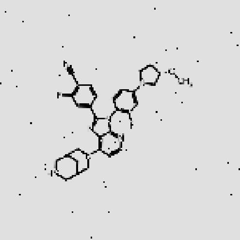 CO[C@H]1CCN(c2ccc(-n3c(-c4ccc(C#N)c(F)c4)nc4c(N5CC6CNCC(C6)C5)ccnc43)c(F)c2)C1